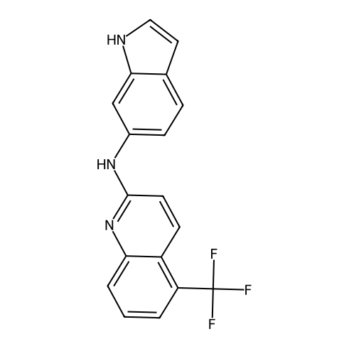 FC(F)(F)c1cccc2nc(Nc3ccc4cc[nH]c4c3)ccc12